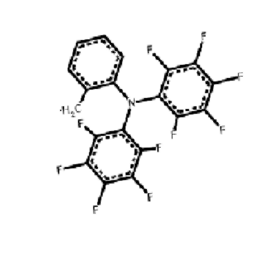 [CH2]c1ccccc1N(c1c(F)c(F)c(F)c(F)c1F)c1c(F)c(F)c(F)c(F)c1F